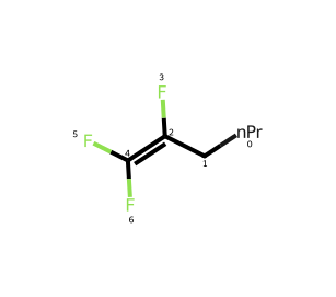 [CH2]CCCC(F)=C(F)F